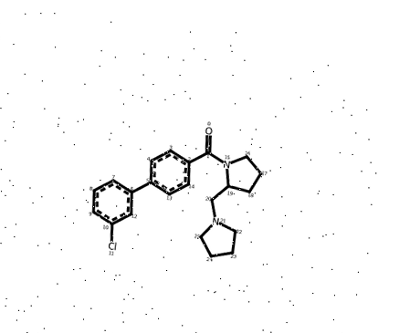 O=C(c1ccc(-c2cccc(Cl)c2)cc1)N1CCCC1CN1CCCC1